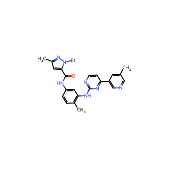 CCn1nc(C)cc1C(=O)Nc1ccc(C)c(Nc2nccc(-c3cncc(C)c3)n2)c1